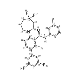 Cc1cccc(NC(=O)c2c(N3CCCC(F)(F)CC3)ncc(-c3cc(F)cc(F)c3)c2C)c1